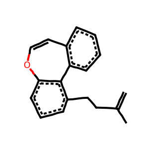 C=C(C)CCc1cccc2c1-c1ccccc1C=CO2